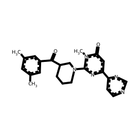 Cc1cc(C)cc(C(=O)C2CCCN(c3nc(-c4ccncn4)cc(=O)n3C)C2)c1